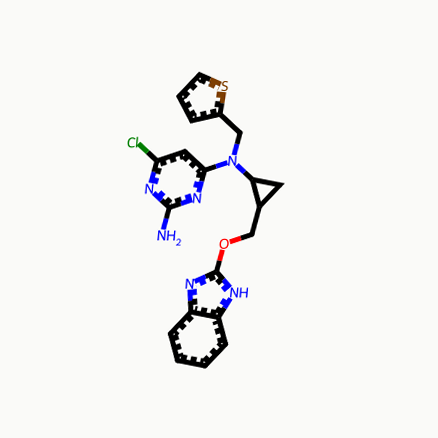 Nc1nc(Cl)cc(N(Cc2cccs2)C2CC2COc2nc3ccccc3[nH]2)n1